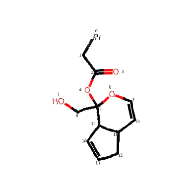 CC(C)CC(=O)OC1(CO)OC=CC2CC=CC21